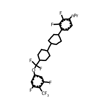 CCCc1ccc(C2CCC(C3CCC(C(F)(F)Oc4cc(F)c(C(F)(F)F)c(F)c4)CC3)CC2)c(F)c1F